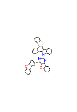 c1ccc2c(c1)oc1ccc(-c3nc(-n4c5ccccc5c5c6sc7ccccc7c6c6ccccc6c54)nc4c3oc3ccccc34)cc12